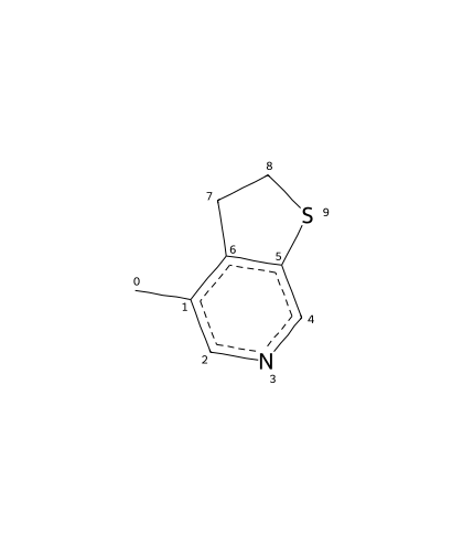 Cc1cncc2c1CCS2